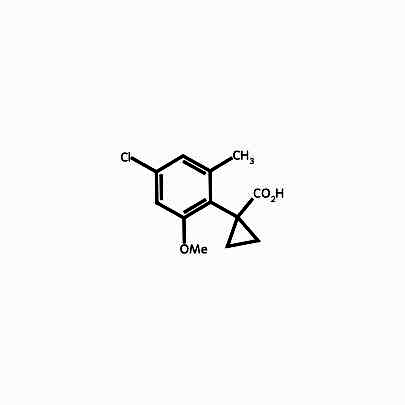 COc1cc(Cl)cc(C)c1C1(C(=O)O)CC1